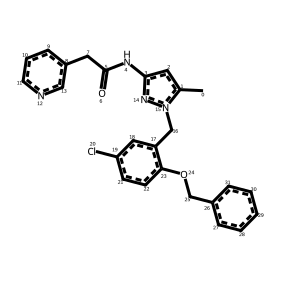 Cc1cc(NC(=O)Cc2cccnc2)nn1Cc1cc(Cl)ccc1OCc1ccccc1